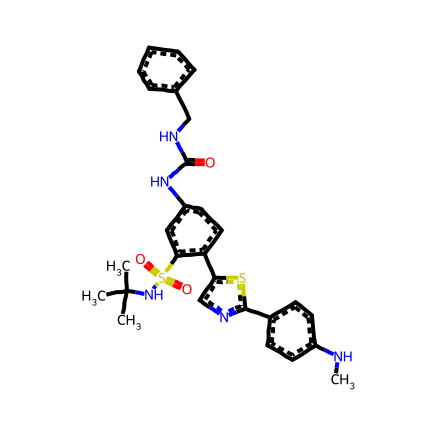 CNc1ccc(-c2ncc(-c3ccc(NC(=O)NCc4ccccc4)cc3S(=O)(=O)NC(C)(C)C)s2)cc1